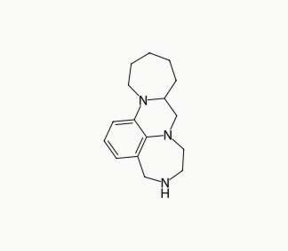 c1cc2c3c(c1)N1CCCCCC1CN3CCNC2